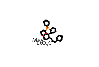 CCOC(=O)/C(=C/c1ccccc1)Cc1cc(SC)ccc1-c1ccccc1P(c1ccccc1)c1ccccc1